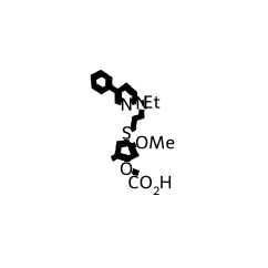 CCN(CCCSc1cc(C)c(OCC(=O)O)cc1OC)c1ccc(-c2ccccc2)cn1